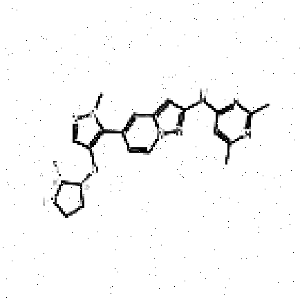 Cc1cc(Nc2cc3cc(-c4c(O[C@H]5CCN[C@@H]5C)cnn4C)ccn3n2)nc(C)n1